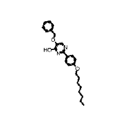 CCCCCCCCOc1ccc(-c2ncc(OCc3ccccc3)c(O)n2)cc1